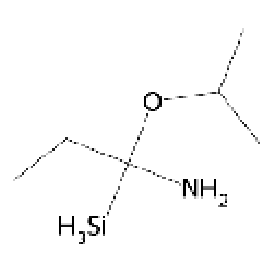 CCC(N)([SiH3])OC(C)C